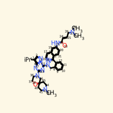 CC(C)c1cnn2c(NCc3ccccc3-c3nccc4cc(NC(=O)/C=C/CN(C)C)ccc34)nc(N3CCOC4(CCN(C)CC4)C3)nc12